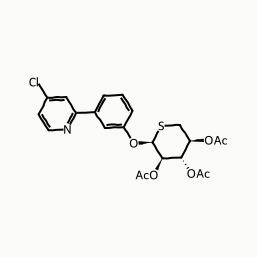 CC(=O)O[C@@H]1[C@@H](OC(C)=O)[C@@H](Oc2cccc(-c3cc(Cl)ccn3)c2)SC[C@H]1OC(C)=O